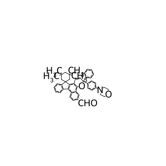 CC1(C)CC(C)(C)CC2(C1)c1ccccc1-c1c2c2c(c3cc(C=O)ccc13)OC(c1ccccc1)(c1ccc(N3CCOCC3)cc1)C=C2